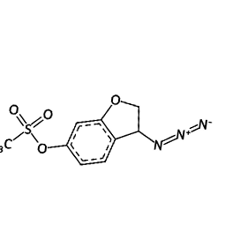 [N-]=[N+]=NC1COc2cc(OS(=O)(=O)C(F)(F)F)ccc21